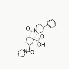 C[C@]1(C(=O)O)CC(C(=O)N2CCCC2)CC[C@@H]1C(=O)N1CCC(c2ccccc2)CC1